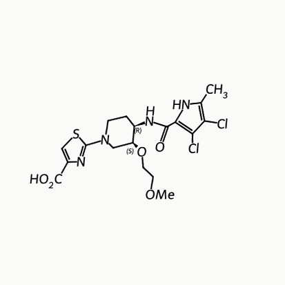 COCCO[C@H]1CN(c2nc(C(=O)O)cs2)CC[C@H]1NC(=O)c1[nH]c(C)c(Cl)c1Cl